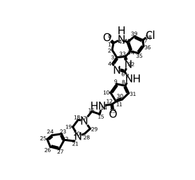 O=C1Cc2cnc(Nc3ccc(C(=O)NCCN4CCN(Cc5ccccc5)CC4)cc3)nc2-c2ccc(Cl)cc2N1